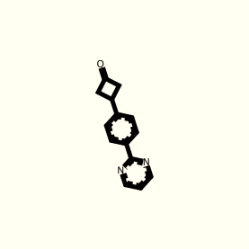 O=C1CC(c2ccc(-c3ncccn3)cc2)C1